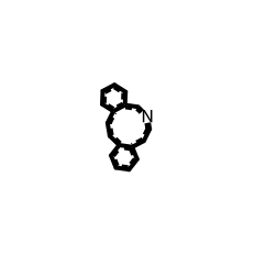 c1ccc2ccc3ccccc3cnccc2c1